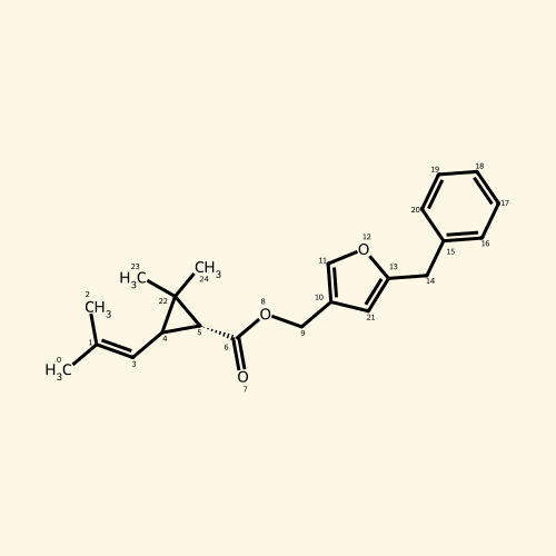 CC(C)=CC1[C@@H](C(=O)OCc2coc(Cc3ccccc3)c2)C1(C)C